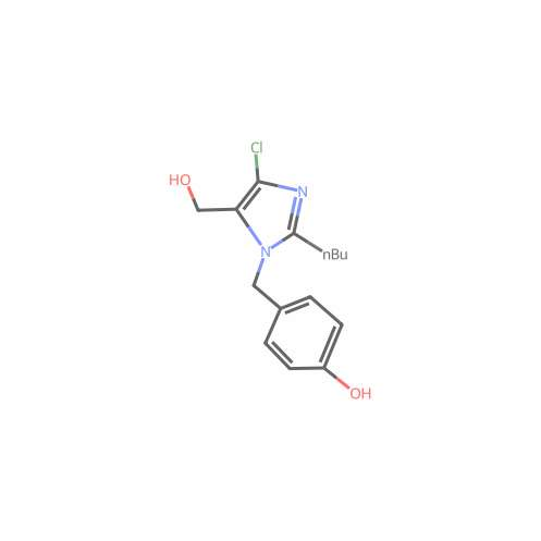 CCCCc1nc(Cl)c(CO)n1Cc1ccc(O)cc1